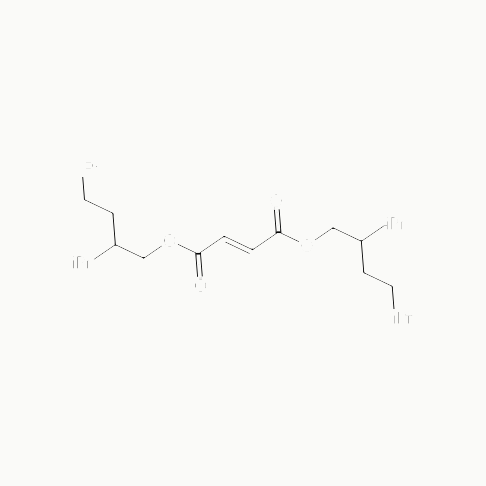 CC(C)CCC(COC(=O)/C=C/C(=O)OCC(CCC(C)C)C(C)C)C(C)C